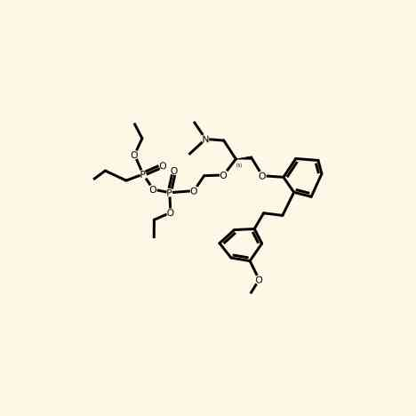 CCCP(=O)(OCC)OP(=O)(OCC)OCO[C@H](COc1ccccc1CCc1cccc(OC)c1)CN(C)C